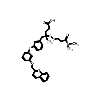 CN(C)C(=O)CCSSC(C)(CCC(=O)O)Cc1cccc(Oc2cccc(OCc3ccc4ccccc4n3)c2)c1